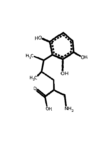 CC(CC(CN)C(=O)O)C(C)c1c(O)ccc(O)c1O